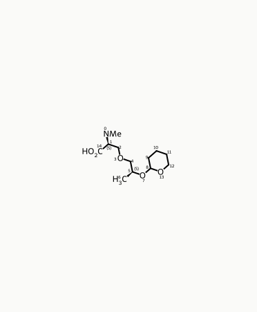 CN[C@@H](COC[C@H](C)OC1CCCCO1)C(=O)O